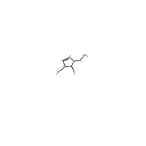 CCN1N=CN(F)C1F